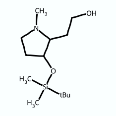 CN1CCC(O[Si](C)(C)C(C)(C)C)C1CCO